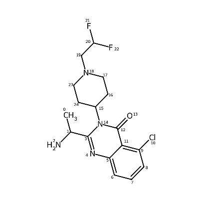 CC(N)c1nc2cccc(Cl)c2c(=O)n1C1CCN(CC(F)F)CC1